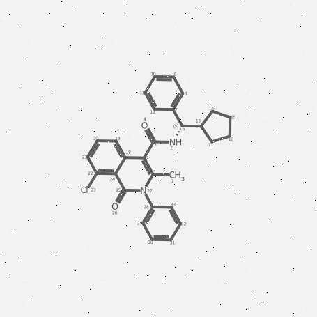 Cc1c(C(=O)N[C@H](c2ccccc2)C2CCCC2)c2cccc(Cl)c2c(=O)n1-c1ccccc1